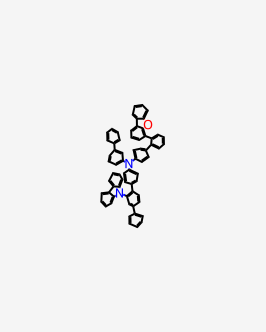 c1ccc(-c2cccc(N(c3ccc(-c4ccccc4-c4cccc5c4oc4ccccc45)cc3)c3ccc(-c4ccc(-c5ccccc5)cc4-n4c5ccccc5c5ccccc54)cc3)c2)cc1